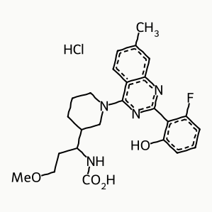 COCCC(NC(=O)O)C1CCCN(c2nc(-c3c(O)cccc3F)nc3cc(C)ccc23)C1.Cl